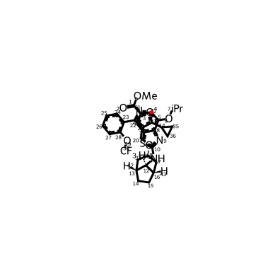 COC(=O)c1cc(OC(C)C)c2nc(N[C@@H]3[C@@H]4CC[C@H]3C[C@@H](OCc3c(-c5ccccc5OC(F)(F)F)noc3C3CC3)C4)sc2c1